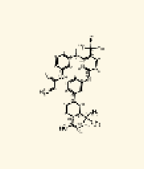 C=CC(=O)Nc1cccc(Nc2nc(Nc3cccc(C4CCN(C(=O)O)C(C(C)(C)C)C4)c3)ncc2C(F)(F)F)c1